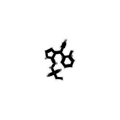 CCS(=O)(=O)O/N=C1\SC=C\C1=C(/C#N)c1ccccc1C